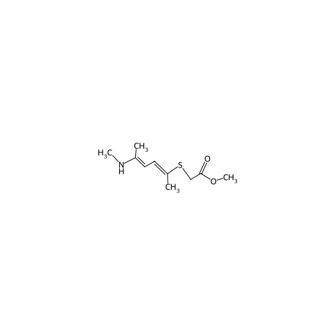 CN/C(C)=C/C=C(\C)SCC(=O)OC